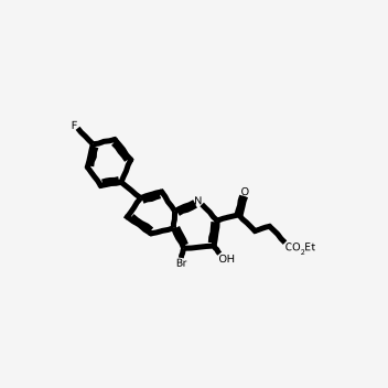 CCOC(=O)CCC(=O)c1nc2cc(-c3ccc(F)cc3)ccc2c(Br)c1O